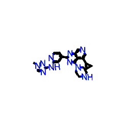 Cn1cnc(Nc2cc(-c3nc(N4CCNCC4)c4c(C5CC5)cncc4n3)ccn2)n1